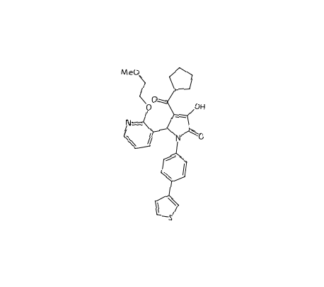 COCCOc1ncccc1C1C(C(=O)C2CCCC2)=C(O)C(=O)N1c1ccc(-c2ccsc2)cc1